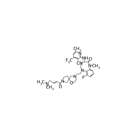 Cc1cc(C(F)(F)F)c(C#N)c(NC2CCN(CCN3CCOC4(CCN(C(=O)/C=C/CN(C)C)C4)C3)c3c(F)cccc3N(C)C2=O)n1